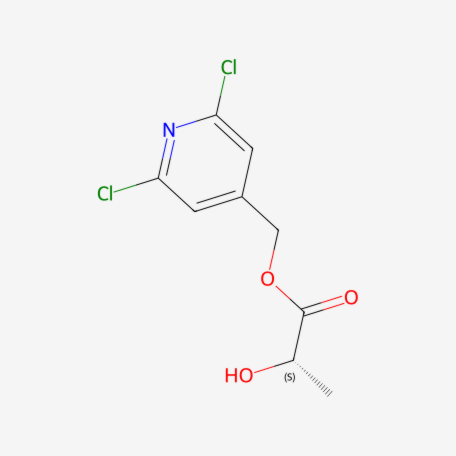 C[C@H](O)C(=O)OCc1cc(Cl)nc(Cl)c1